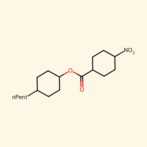 CCCCCC1CCC(OC(=O)C2CCC([N+](=O)[O-])CC2)CC1